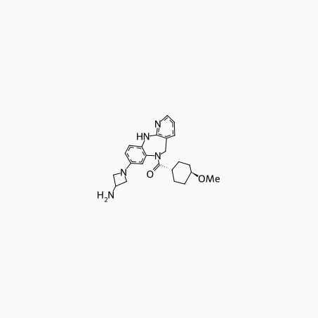 CO[C@H]1CC[C@H](C(=O)N2Cc3cccnc3Nc3ccc(N4CC(N)C4)cc32)CC1